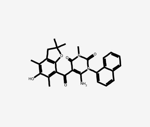 Cc1c(O)c(C)c(C(=O)c2c(N)n(-c3cccc4ccccc34)c(=O)n(C)c2=O)c2c1CC(C)(C)O2